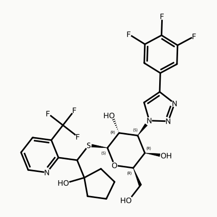 OC[C@H]1O[C@@H](SC(c2ncccc2C(F)(F)F)C2(O)CCCC2)[C@H](O)[C@@H](n2cc(-c3cc(F)c(F)c(F)c3)nn2)[C@H]1O